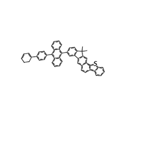 CC1(C)c2ccc(-c3c4ccccc4c(-c4ccc(C5=CC=CCC5)cc4)c4ccccc34)cc2-c2cc3ccc4c5ccccc5sc4c3cc21